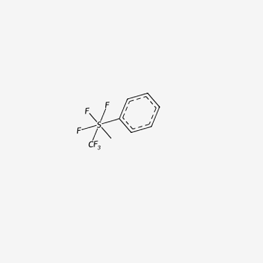 CS(F)(F)(F)(c1ccccc1)C(F)(F)F